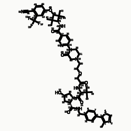 Cc1ncsc1-c1ccc(CNC(=O)[C@@H]2C[C@@H](O)CN2C(=O)[C@@H](NC(=O)COCCN2CCN(c3ccc(C(=O)N[C@H]4C(C)(C)[C@H](Oc5ccc(C#N)c(C(F)(F)F)c5)C4(C)C)cn3)C(=O)C2)C(C)(C)C)cc1